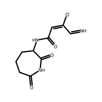 N=C/C(Cl)=C\C(=O)NC1CCCC(=O)NC1=O